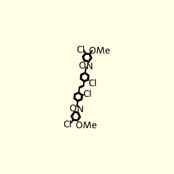 COc1cc2nc(-c3ccc(/C=C/c4ccc(-c5nc6cc(OC)c(Cl)cc6o5)cc4Cl)c(Cl)c3)oc2cc1Cl